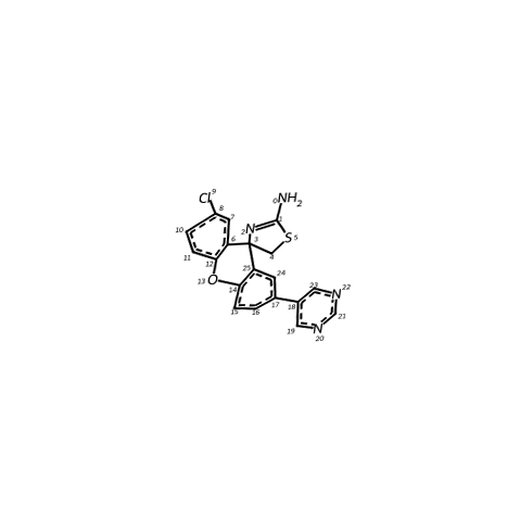 NC1=NC2(CS1)c1cc(Cl)ccc1Oc1ccc(-c3cncnc3)cc12